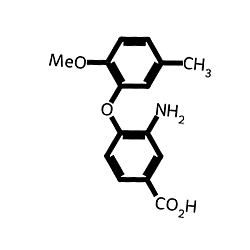 COc1ccc(C)cc1Oc1ccc(C(=O)O)cc1N